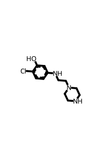 Oc1cc(NCCN2CCNCC2)ccc1Cl